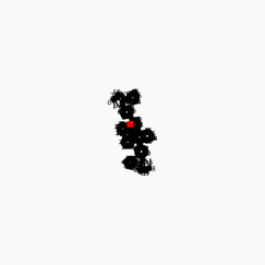 CC1(C)N=C(c2ccc(-c3ccc4c(c3)C3(c5ccccc5-c5ccccc53)c3cc(-c5ccc(C6=NC(C)(C)C(C)(C)N6c6ccccc6)cc5)c5ccccc5c3-4)cc2)N(c2ccccc2)C1(C)C